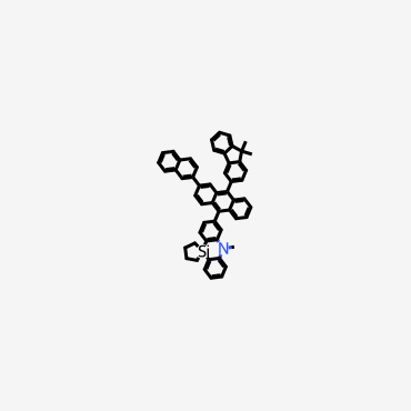 CN1c2ccccc2[Si]2(CCCC2)c2ccc(-c3c4ccccc4c(-c4ccc5c(c4)-c4ccccc4C5(C)C)c4cc(-c5ccc6ccccc6c5)ccc34)cc21